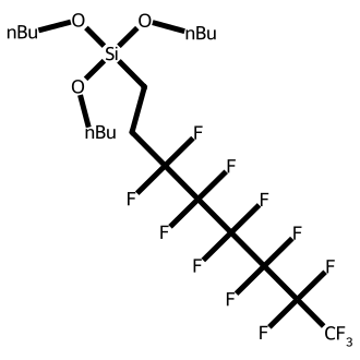 CCCCO[Si](CCC(F)(F)C(F)(F)C(F)(F)C(F)(F)C(F)(F)C(F)(F)F)(OCCCC)OCCCC